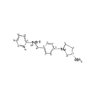 N[C@H]1CCN(c2ccc(CNc3ccccn3)cc2)C1